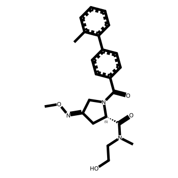 CON=C1C[C@@H](C(=O)N(C)CCO)N(C(=O)c2ccc(-c3ccccc3C)cc2)C1